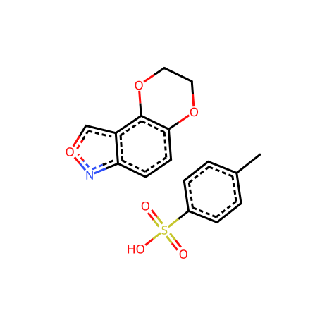 Cc1ccc(S(=O)(=O)O)cc1.c1cc2nocc2c2c1OCCO2